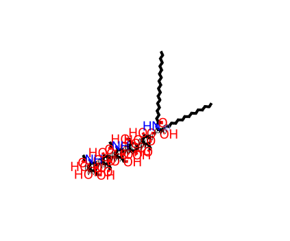 CCCCCCCCCCCCC/C=C/[C@@H](O)[C@H](CO[C@@H]1OC(CO)[C@@H](O[C@@H]2OC(CO)[C@H](O[C@@H]3OC(CO)[C@H](O)[C@H](O[C@@H]4OC(CO)[C@H](O)[C@H](O[C@@H]5OC(CO)[C@H](O)[C@H](O)C5NC(C)=O)C4O)C3NC(C)=O)[C@H](O)C2O)[C@H](O)C1O)NC(=O)CCCCCCCCCCCCCCCCCCC